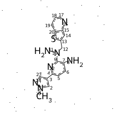 Cn1cc(-c2ccc(N)c(N(N)Cc3cc4ncccc4s3)n2)cn1